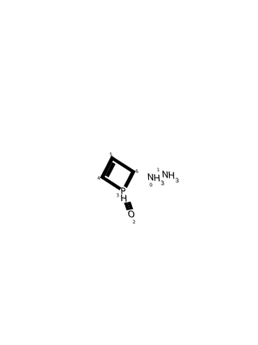 N.N.O=[PH]1C=CC1